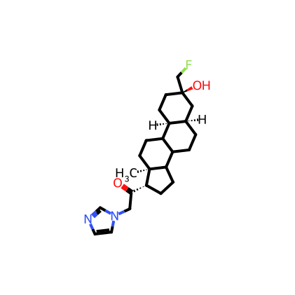 C[C@]12CCC3C(CC[C@@H]4C[C@@](O)(CF)CC[C@H]34)C1CC[C@@H]2C(=O)Cn1ccnc1